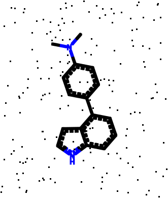 CN(C)c1ccc(-c2cccc3[nH]ccc23)cc1